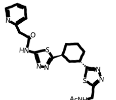 CC(=O)NCc1nnc([C@H]2CCC[C@H](c3nnc(NC(=O)Cc4ccccn4)s3)C2)s1